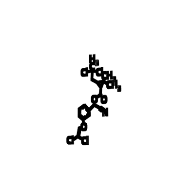 CC(Cl)(Cl)CC1C(C(=O)OC(C#N)c2cccc(OC=C(Cl)Cl)c2)C1(C)C